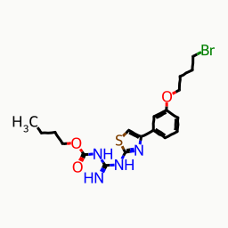 CCCCOC(=O)NC(=N)Nc1nc(-c2cccc(OCCCCBr)c2)cs1